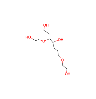 OCCOCCCC(O)C(CCO)OCCO